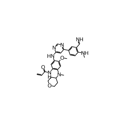 C=CC(=O)Nc1cc(Nc2cc(-c3ccc(NC)c(C=N)c3)ncn2)c(OC)cc1N(C)C1CCOCC1